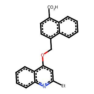 CCc1cc(OCc2ccc(C(=O)O)c3ccccc23)c2ccccc2n1